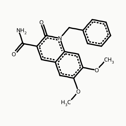 COc1cc2cc(C(N)=O)c(=O)n(Cc3ccccc3)c2cc1OC